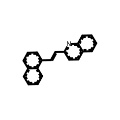 C(=Cc1cccc2ccccc12)c1ccc2ccccc2n1